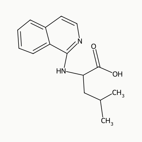 CC(C)CC(Nc1nccc2ccccc12)C(=O)O